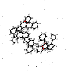 C1=CCCC(c2ccccc2N(c2cc3c4cc(N(c5ccccc5-c5ccccc5)c5cccc6c5oc5c(C7CCCC7)cccc56)c5ccccc5c4oc3c3ccccc23)c2cccc3c2oc2c(C4CCCC4)cccc23)=C1